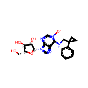 [O-][n+]1cnc2c(ncn2[C@@H]2O[C@H](CO)[C@@H](O)[C@H]2O)c1NCC1(c2ccccc2)CC1